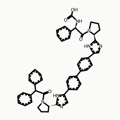 O=C(O)N[C@@H](C(=O)N1CCC[C@H]1c1ncc(-c2ccc(-c3ccc(-c4cnc([C@@H]5CCCN5C(=O)C(c5ccccc5)c5ccccc5)[nH]4)cc3)cc2)[nH]1)c1ccccc1